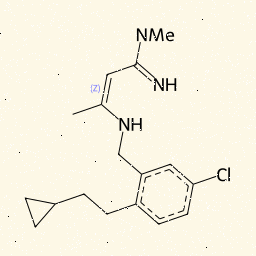 CNC(=N)/C=C(/C)NCc1cc(Cl)ccc1CCC1CC1